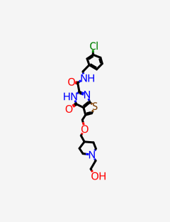 O=C(NCc1cccc(Cl)c1)c1nc2scc(COCC3CCN(CCO)CC3)c2c(=O)[nH]1